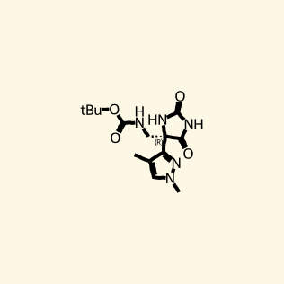 Cc1cn(C)nc1[C@@]1(CNC(=O)OC(C)(C)C)NC(=O)NC1=O